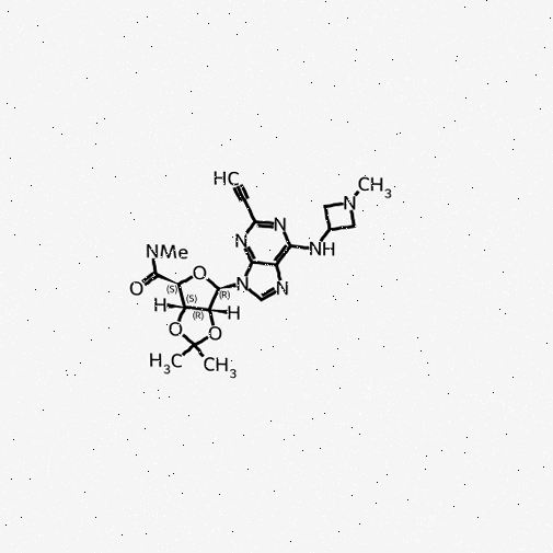 C#Cc1nc(NC2CN(C)C2)c2ncn([C@@H]3O[C@H](C(=O)NC)[C@H]4OC(C)(C)O[C@H]43)c2n1